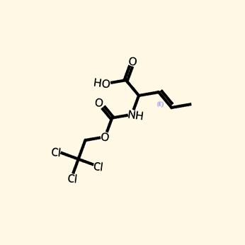 C/C=C/C(NC(=O)OCC(Cl)(Cl)Cl)C(=O)O